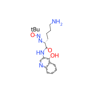 CC(C)(C)O/N=N/[C@H](CCCCN)C(=O)Nc1cnc2ccccc2c1O